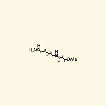 COCCNNCCOCCNN